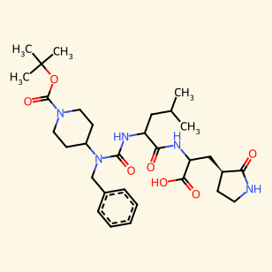 CC(C)CC(NC(=O)N(Cc1ccccc1)C1CCN(C(=O)OC(C)(C)C)CC1)C(=O)NC(C[C@@H]1CCNC1=O)C(=O)O